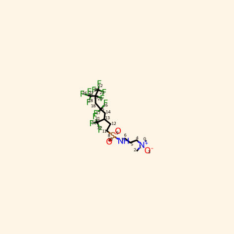 C[N+](C)([O-])CCCNS(=O)(=O)CCC(CC(F)(F)CC(F)(C(F)(F)F)C(F)(F)F)C(F)(F)F